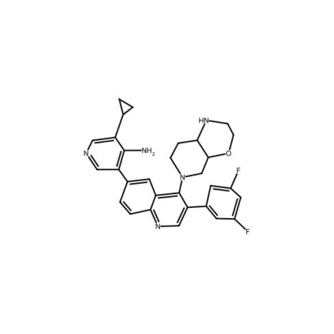 Nc1c(-c2ccc3ncc(-c4cc(F)cc(F)c4)c(N4CCC5NCCOC5C4)c3c2)cncc1C1CC1